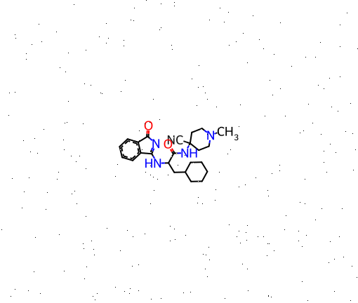 CN1CCC(C#N)(NC(=O)C(CC2CCCCC2)NC2=NC(=O)c3ccccc32)CC1